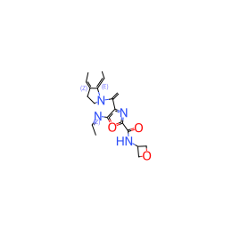 C=C(c1nc(C(=O)NC2COC2)oc1/N=C\C)N1CCC(=C/C)/C1=C\C